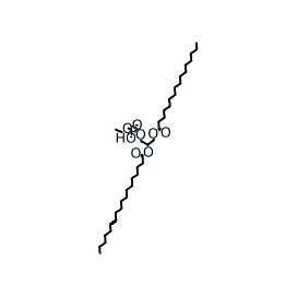 CCCCCC=CCCCCCCCCCCC(=O)OC(COC(=O)CCCCCCCCCCCCCCC)COP(=O)(O)OCC